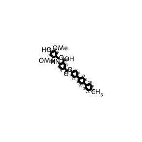 COc1cc(C(=O)Nc2ccc(C(=O)Oc3ccc(-c4ccc(-c5ccc(C)cc5)cc4)cc3)cc2CO)c(OC)cc1O